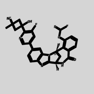 CC1(C#N)CC(O)(c2ncc(-c3ccc4nc5n(c4c3)[C@@H]3C[C@H]5NC(=O)c4cccc(OC(F)F)c43)cc2F)C1